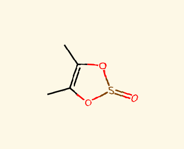 CC1=C(C)OS(=O)O1